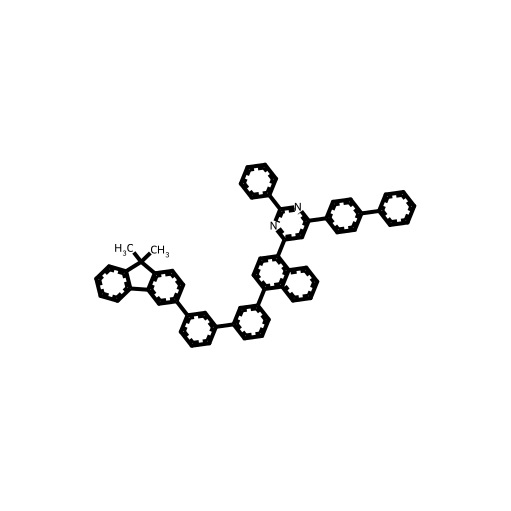 CC1(C)c2ccccc2-c2cc(-c3cccc(-c4cccc(-c5ccc(-c6cc(-c7ccc(-c8ccccc8)cc7)nc(-c7ccccc7)n6)c6ccccc56)c4)c3)ccc21